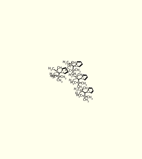 C[Si](C)(C)C([c-]1cccc1)[Si](C)(C)C.C[Si](C)(C)C([c-]1cccc1)[Si](C)(C)C.C[Si](C)(C)C([c-]1cccc1)[Si](C)(C)C.C[Si](C)(C)C([c-]1cccc1)[Si](C)(C)C.[Hf+4]